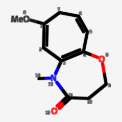 COC1=CC2=C(C=CC1)OCCC(=O)N2C